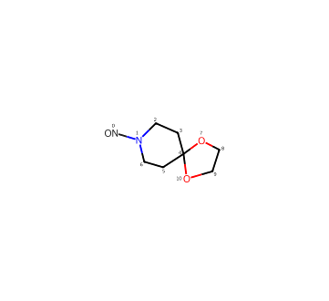 O=NN1CCC2(CC1)OCCO2